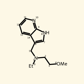 CCN(CCOC)Cc1c[nH]c2ncccc12